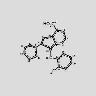 O=C(O)c1cccc2c1cc(-c1ccccc1)n2Oc1ccccc1F